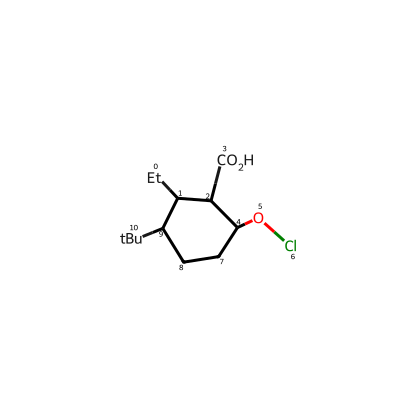 CCC1C(C(=O)O)C(OCl)CCC1C(C)(C)C